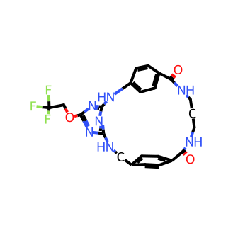 O=C1NCCCNC(=O)c2ccc(cc2)Nc2nc(nc(OCC(F)(F)F)n2)NCc2ccc1cc2